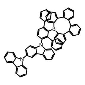 c1ccc(-c2ccc(-n3c4ccccc4c4cc(-n5c6ccccc6c6ccccc65)ccc43)c(-c3ccccc3)c2B2c3ccccc3-c3ccccc3-c3ccccc3-c3ccccc32)cc1